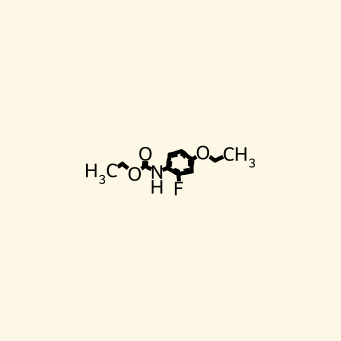 CCOC(=O)Nc1ccc(OCC)cc1F